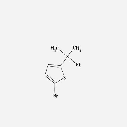 CCC(C)(C)c1ccc(Br)s1